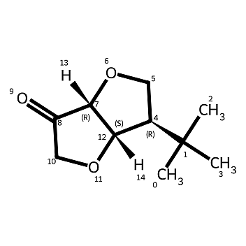 CC(C)(C)[C@@H]1CO[C@H]2C(=O)CO[C@@H]12